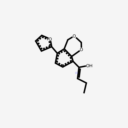 CC/C=C(\O)c1ccc(-c2ccco2)c2c1OCOC2